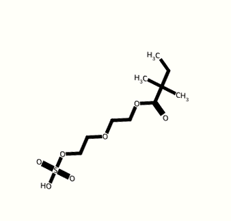 CCC(C)(C)C(=O)OCCOCCOS(=O)(=O)O